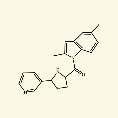 Cc1ccc2c(c1)cc(C)n2C(=O)C1CSC(c2cccnc2)N1